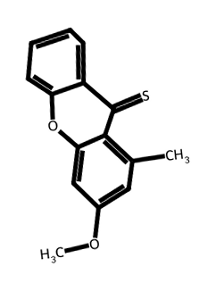 COc1cc(C)c2c(=S)c3ccccc3oc2c1